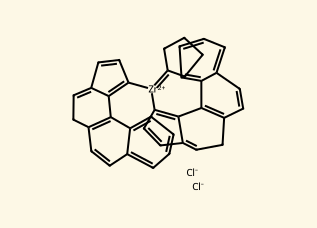 C1=C[C]([Zr+2]([C]2=C3C(=CCc4ccc5ccccc5c43)C=C2)=[C]2CCCC2)=C2C1=CCc1ccc3ccccc3c12.[Cl-].[Cl-]